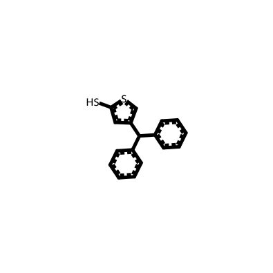 Sc1cc(C(c2ccccc2)c2ccccc2)cs1